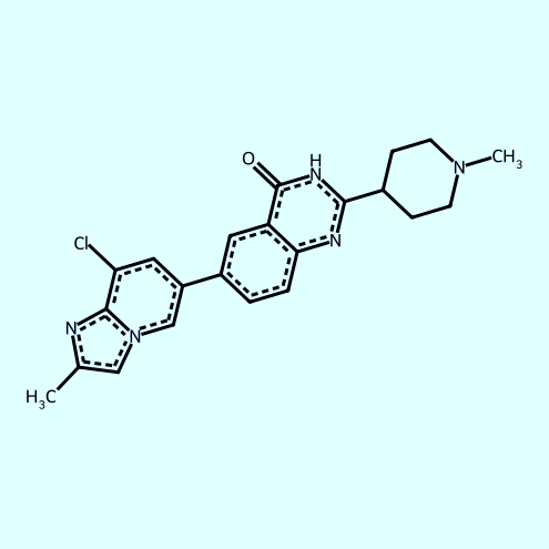 Cc1cn2cc(-c3ccc4nc(C5CCN(C)CC5)[nH]c(=O)c4c3)cc(Cl)c2n1